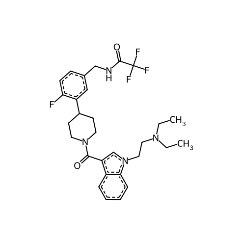 CCN(CC)CCn1cc(C(=O)N2CCC(c3cc(CNC(=O)C(F)(F)F)ccc3F)CC2)c2ccccc21